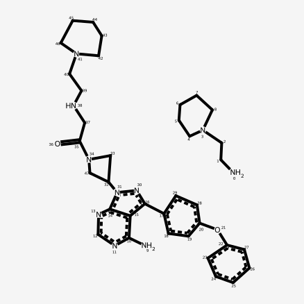 NCCN1CCCCC1.Nc1ncnc2c1c(-c1ccc(Oc3ccccc3)cc1)nn2C1CN(C(=O)CNCCN2CCCCC2)C1